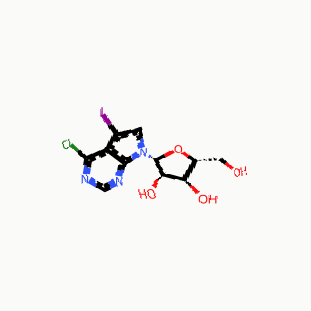 OC[C@H]1O[C@@H](n2cc(I)c3c(Cl)ncnc32)[C@H](O)[C@@H]1O